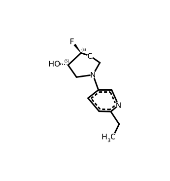 CCc1ccc(N2CC[C@H](F)[C@@H](O)C2)cn1